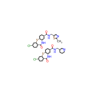 Cc1ncc(CNC(=O)c2ccc3c(c2)NC(=O)c2ccc(Cl)cc2S3)s1.O=C(NCc1cccnc1)c1ccc2c(c1)NC(=O)c1ccc(Cl)cc1S2